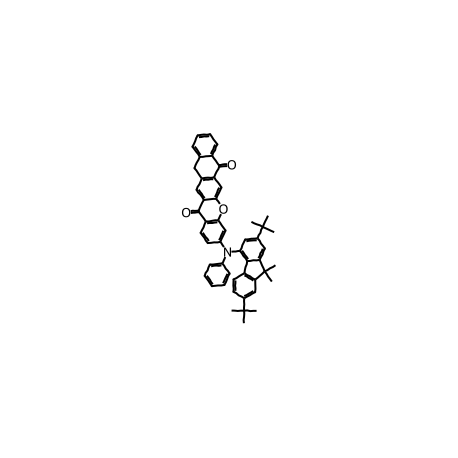 CC(C)(C)c1ccc2c(c1)C(C)(C)c1cc(C(C)(C)C)cc(N(c3ccccc3)c3ccc4c(=O)c5cc6c(cc5oc4c3)C(=O)c3ccccc3C6)c1-2